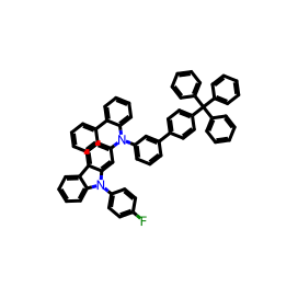 Fc1ccc(-n2c3ccccc3c3ccc(N(c4cccc(-c5ccc(C(c6ccccc6)(c6ccccc6)c6ccccc6)cc5)c4)c4ccccc4-c4ccccc4)cc32)cc1